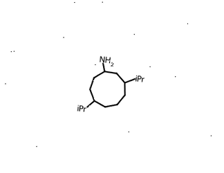 CC(C)C1CCCC(C(C)C)CC(N)CC1